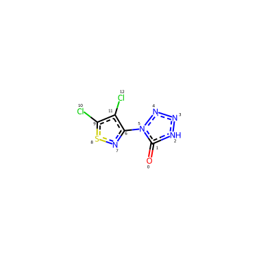 O=c1[nH]nnn1-c1nsc(Cl)c1Cl